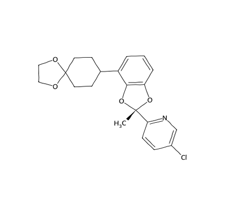 C[C@]1(c2ccc(Cl)cn2)Oc2cccc(C3CCC4(CC3)OCCO4)c2O1